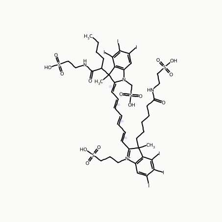 CCCCC(C(=O)NCCS(=O)(=O)O)C1(C)/C(=C/C=C/C=C/C=C/C2=[N+](CCCS(=O)(=O)O)c3cc(I)c(I)c(I)c3C2(C)CCCCCC(=O)NCCS(=O)(=O)O)N(CS(=O)(=O)O)c2cc(I)c(I)c(I)c21